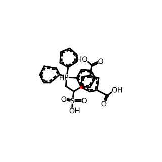 O=C(O)c1cc(C(=O)O)cc(C(C[PH](c2ccccc2)(c2ccccc2)c2ccccc2)S(=O)(=O)O)c1